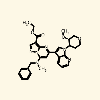 CCOC(=O)c1cnn2c(N(C)Cc3ccccc3)cc(-c3cn(C4CCOC[C@@H]4OC)c4ncccc34)nc12